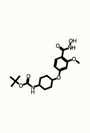 COc1cc(OC2CCC(NC(=O)OC(C)(C)C)CC2)ccc1C(=O)NO